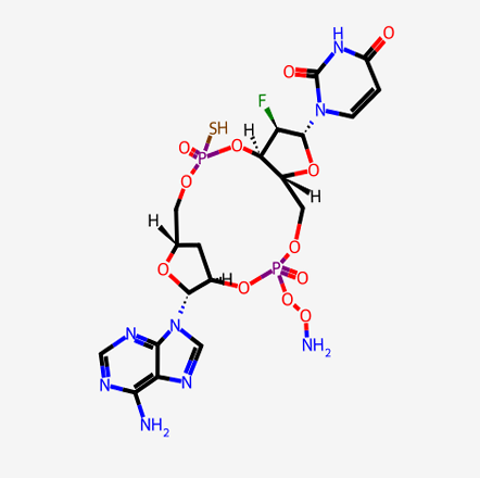 NOOP1(=O)OC[C@H]2O[C@@H](n3ccc(=O)[nH]c3=O)[C@H](F)[C@@H]2OP(=O)(S)OC[C@@H]2C[C@@H](O1)[C@H](n1cnc3c(N)ncnc31)O2